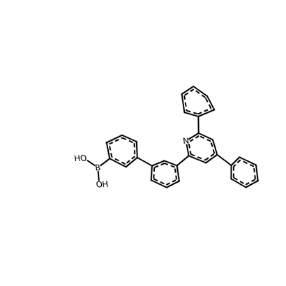 OB(O)c1cccc(-c2cccc(-c3cc(-c4ccccc4)cc(-c4ccccc4)n3)c2)c1